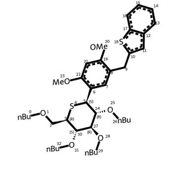 CCCCOC[C@H]1S[C@@H](c2cc(Cc3cc4ccccc4s3)c(OC)cc2OC)[C@H](OCCCC)[C@@H](OCCCC)[C@@H]1OCCCC